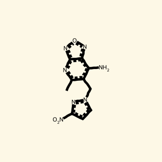 Cc1nc2nonc2c(N)c1Cn1ccc([N+](=O)[O-])n1